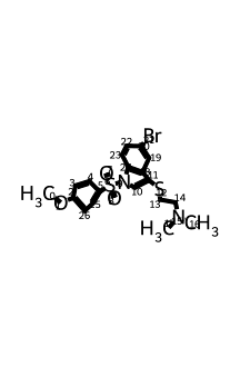 COc1ccc(S(=O)(=O)n2cc(SCCN(C)C)c3cc(Br)ccc32)cc1